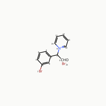 O=CC(c1cccc(Br)c1)[n+]1ccccc1.[Br-]